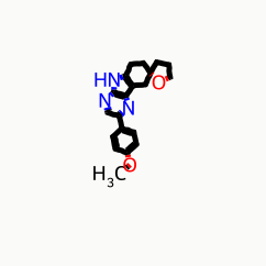 COc1ccc(-c2cnc3[nH]c4c(c3n2)CC2(CCCO2)CC4)cc1